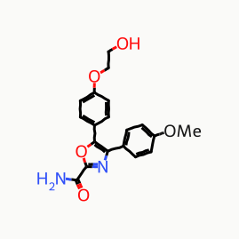 COc1ccc(-c2nc(C(N)=O)oc2-c2ccc(OCCO)cc2)cc1